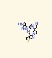 N#CCC(C1CCN(c2ncc3sccc3c2C#N)C1)n1cc(-c2ncnc3[nH]ccc23)cn1